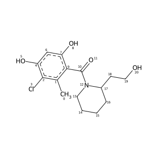 Cc1c(Cl)c(O)cc(O)c1C(=O)N1CCCCC1CCO